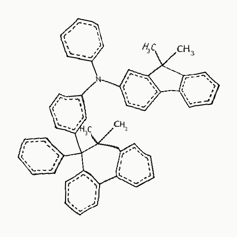 CC1(C)c2ccccc2-c2ccc(N(c3ccccc3)c3cccc(C4(c5ccccc5)c5ccccc5-c5ccccc5C4(C)C)c3)cc21